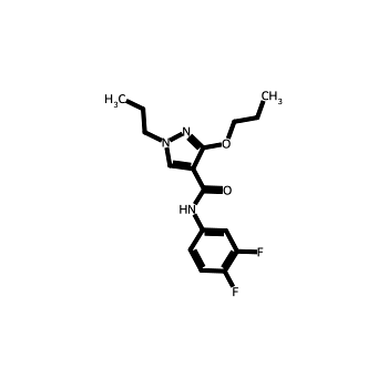 CCCOc1nn(CCC)cc1C(=O)Nc1ccc(F)c(F)c1